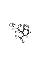 CC(C)(C)c1cccc(C(Br)Br)c1NC(=O)CCl